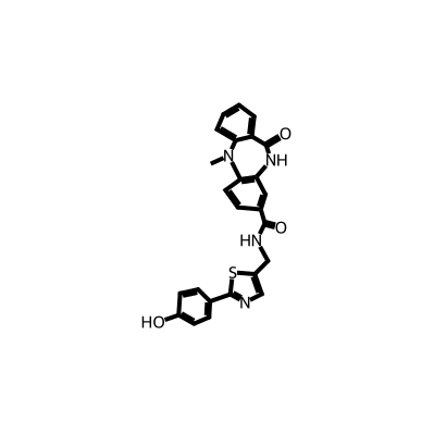 CN1c2ccc(C(=O)NCc3cnc(-c4ccc(O)cc4)s3)cc2NC(=O)c2ccccc21